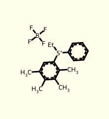 CC[S+](c1ccccc1)c1cc(C)c(C)c(C)c1C.F[B-](F)(F)F